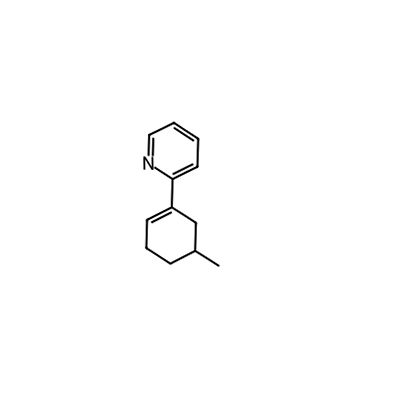 CC1CCC=C(c2ccccn2)C1